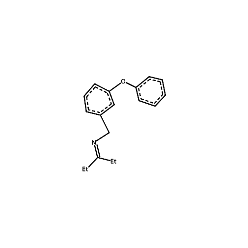 CCC(CC)=NCc1cccc(Oc2ccccc2)c1